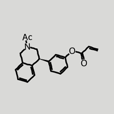 C=CC(=O)Oc1cccc([C@@H]2CN(C(C)=O)Cc3ccccc32)c1